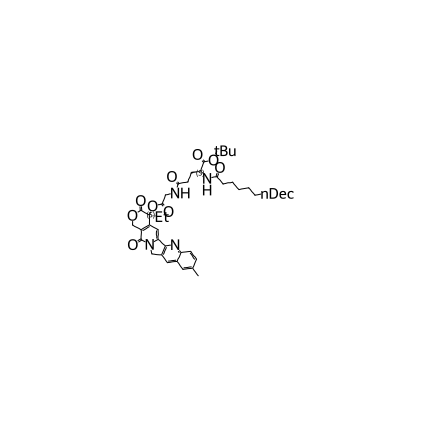 CCCCCCCCCCCCCCCC(=O)N[C@@H](CCC(=O)NCC(=O)O[C@]1(CC)C(=O)OCc2c1cc1n(c2=O)Cc2cc3cc(C)ccc3nc2-1)C(=O)OC(C)(C)C